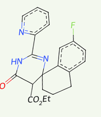 CCOC(=O)C1C(=O)NC(c2ccccn2)=NC12CCCc1ccc(F)cc12